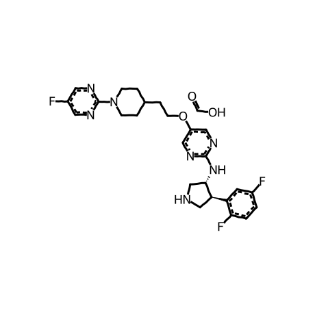 Fc1cnc(N2CCC(CCOc3cnc(N[C@H]4CNC[C@@H]4c4cc(F)ccc4F)nc3)CC2)nc1.O=CO